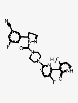 Cc1cc[nH]c(=O)c1-c1nc(N2CCN(C(=O)N3N=CCC3c3cc(F)cc(C#N)c3)CC2)ncc1F